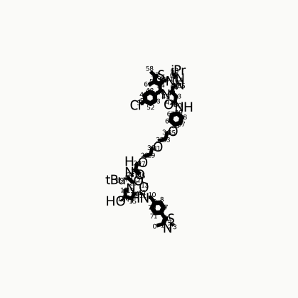 Cc1ncsc1-c1ccc(CNC(=O)[C@@H]2C[C@@H](O)CN2C(=O)[C@@H](NC(=O)COCCCOCCCOc2ccc(NC(=O)CC3N=C(c4ccc(Cl)cc4)c4c(sc(C)c4C)-n4c(C(C)C)nnc43)cc2)C(C)(C)C)cc1